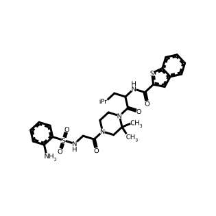 CC(C)CC(NC(=O)c1cc2ccccc2s1)C(=O)N1CCN(C(=O)CNS(=O)(=O)c2ccccc2N)CC1(C)C